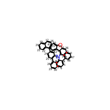 c1ccc(-c2ccccc2N(c2cc(-c3cccc4ccccc34)ccc2-c2ccccc2)c2cccc3oc4ccccc4c23)cc1